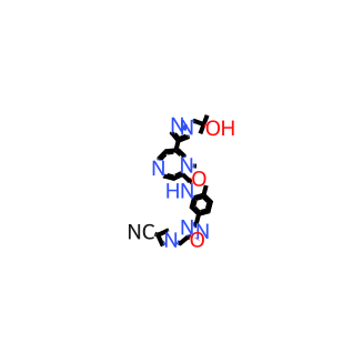 Cc1ccc(-c2noc(CN3CC(C#N)C3)n2)cc1NC(=O)c1ccnccc(-c2cnn(CC(C)(C)O)c2)cn1C